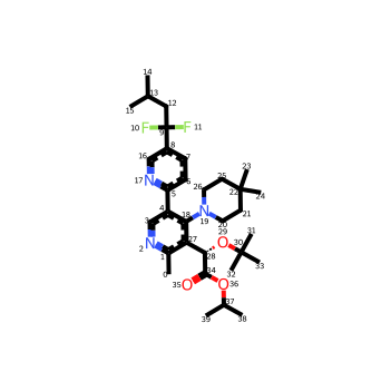 Cc1ncc(-c2ccc(C(F)(F)CC(C)C)cn2)c(N2CCC(C)(C)CC2)c1[C@H](OC(C)(C)C)C(=O)OC(C)C